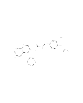 COc1cc(/C=C/C(=O)Nc2cnc3c(C)cc(C)cc3c2-c2ccccc2Cl)cc(OC)c1OC(C)=O